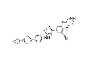 N#Cc1cc(-c2ncnc(Nc3ccc(N4CCN(C5COC5)CC4)cc3)n2)ccc1OC1CCNCC1F